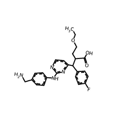 CCOCCC(C(=O)O)C(c1ccc(F)cc1)c1ccnc(Nc2ccc(CN)cc2)n1